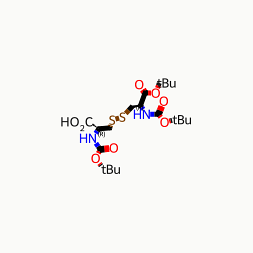 CC(C)(C)OC(=O)N[C@@H](CSSC[C@H](NC(=O)OC(C)(C)C)C(=O)OC(C)(C)C)C(=O)O